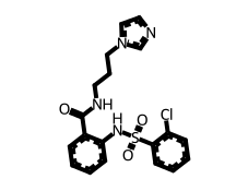 O=C(NCCCn1ccnc1)c1ccccc1NS(=O)(=O)c1ccccc1Cl